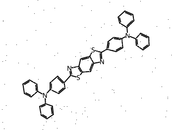 c1ccc(N(c2ccccc2)c2ccc(-c3nc4cc5sc(-c6ccc(N(c7ccccc7)c7ccccc7)cc6)nc5cc4s3)cc2)cc1